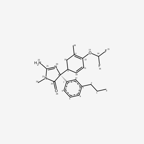 CCCc1cccc([C@@]2(C3C=CC(OC(F)F)=C(C)C3)N=C(N)N(C)C2=O)c1